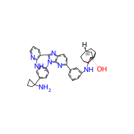 Nc1ncccc1-c1nc2ccc(-c3cccc(NC4C5CC6C[C@@H](CC6C[C@H]4O)C5)c3)nc2n1-c1ccc(C2(N)CCC2)cc1